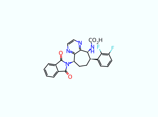 O=C(O)N[C@@H]1c2nccnc2[C@H](N2C(=O)c3ccccc3C2=O)CC[C@@H]1c1cccc(F)c1F